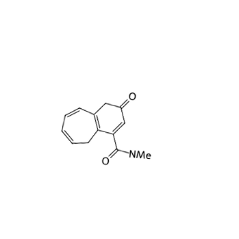 CNC(=O)C1=CC(=O)CC2=C1CC=CC=C2